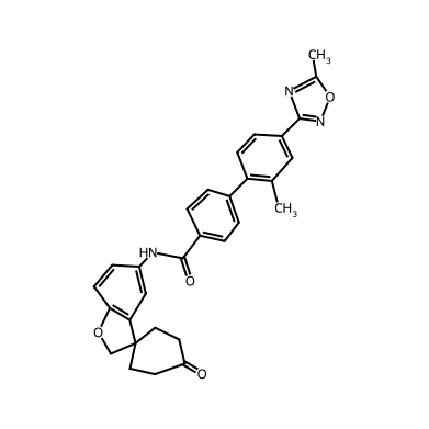 Cc1nc(-c2ccc(-c3ccc(C(=O)Nc4ccc5c(c4)C4(CCC(=O)CC4)CO5)cc3)c(C)c2)no1